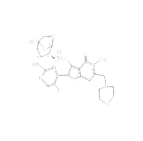 Cc1c(-c2nc(N[C@@H]3C[C@H]4CO[C@H](O4)[C@H]3O)ncc2F)sc2cc(CN3CCOCC3)n(C)c(=O)c12